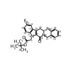 CC(C)(C)OC(=O)Cn1c2c(c3cc(F)ccc31)CCN(Cc1ccccc1F)C2=O